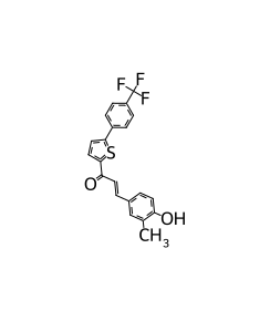 Cc1cc(C=CC(=O)c2ccc(-c3ccc(C(F)(F)F)cc3)s2)ccc1O